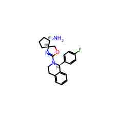 N[C@H]1CCC[C@]12COC(N1CCc3ccccc3[C@@H]1c1ccc(F)cc1)=N2